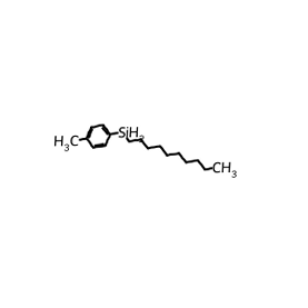 CCCCCCCCCC[SiH2]c1ccc(C)cc1